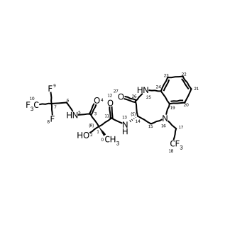 C[C@@](O)(C(=O)NCC(F)(F)C(F)(F)F)C(=O)N[C@H]1CN(CC(F)(F)F)c2ccccc2NC1=O